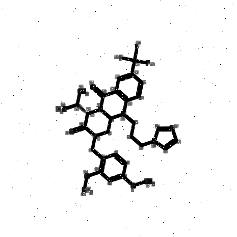 COc1ccc(CN2CC3N(CCCn4ccnc4)c4ccc(C(F)(F)F)cc4C(=O)N3[C@@H](C(C)C)C2=O)c(OC)c1